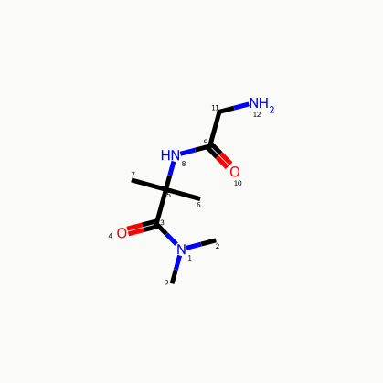 CN(C)C(=O)C(C)(C)NC(=O)CN